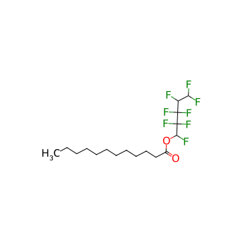 CCCCCCCCCCCC(=O)OC(F)C(F)(F)C(F)(F)C(F)C(F)F